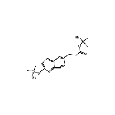 CC(C)(C)[Si](C)(C)OC(=O)CCc1ccc2cc(O[Si](C)(C)C(C)(C)C)ccc2c1